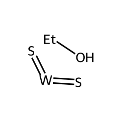 CCO.[S]=[W]=[S]